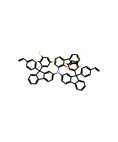 C=Cc1ccc(C2(c3cc(F)cc(F)c3F)c3ccccc3-c3ccc(N(c4ccc5c(c4)C(c4ccc(C=C)cc4)(c4cc(F)cc(F)c4F)c4ccccc4-5)c4cccc5c4oc4ccccc45)cc32)cc1